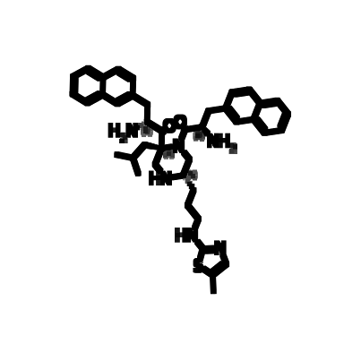 Cc1cnc(NCCC[C@H]2CN(C(=O)[C@H](N)Cc3ccc4ccccc4c3)[C@@](CC(C)C)(C(=O)[C@H](N)Cc3ccc4ccccc4c3)CN2)s1